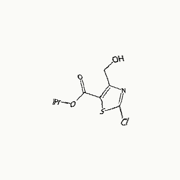 CC(C)OC(=O)c1sc(Cl)nc1CO